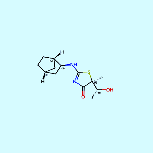 C[C@@H](O)[C@]1(C)SC(N[C@H]2C[C@@H]3CC[C@H]2C3)=NC1=O